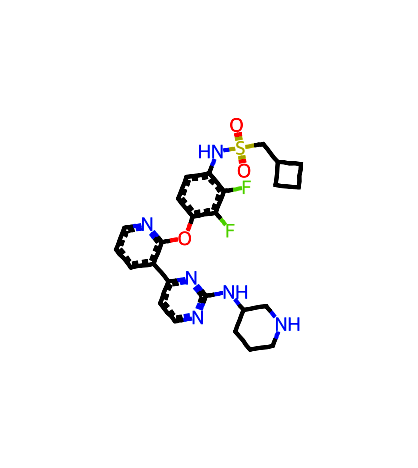 O=S(=O)(CC1CCC1)Nc1ccc(Oc2ncccc2-c2ccnc(NC3CCCNC3)n2)c(F)c1F